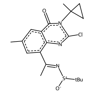 CC(=N[S+]([O-])C(C)(C)C)c1cc(C)cc2c(=O)n(C3(C)CC3)c(Cl)nc12